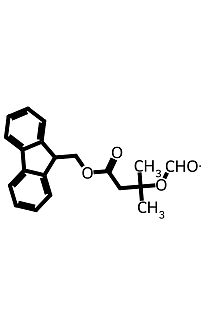 CC(C)(CC(=O)OCC1c2ccccc2-c2ccccc21)O[C]=O